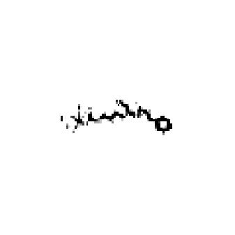 C[C@H](CCc1ccccc1)N[C@H](C=O)CCCCNC(=O)OC(C)(C)C